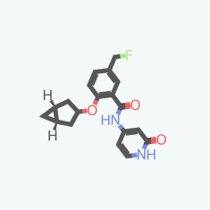 O=C(Nc1cc[nH]c(=O)c1)c1cc(CF)ccc1OC1C[C@@H]2C[C@@H]2C1